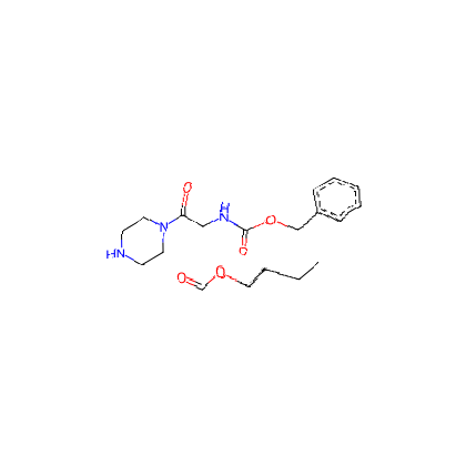 CCCCOC=O.O=C(NCC(=O)N1CCNCC1)OCc1ccccc1